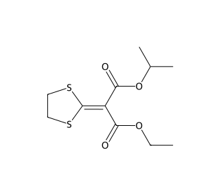 CCOC(=O)C(C(=O)OC(C)C)=C1SCCS1